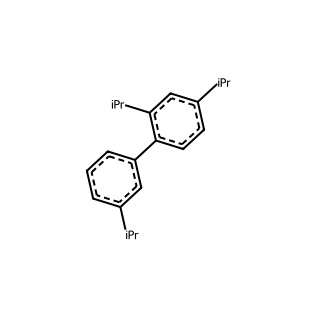 CC(C)c1cccc(-c2ccc(C(C)C)cc2C(C)C)c1